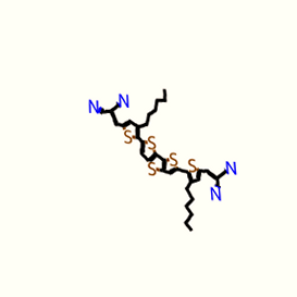 CCCCCCc1cc(C=C(C#N)C#N)sc1-c1cc2sc3cc(-c4sc(C=C(C#N)C#N)cc4CCCCCC)sc3c2s1